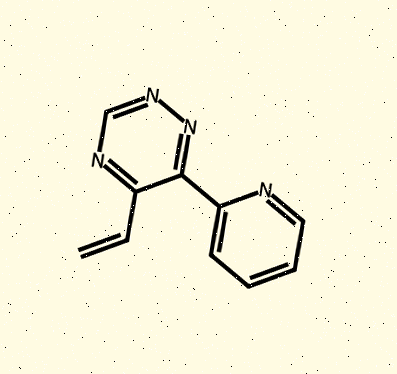 C=Cc1ncnnc1-c1ccccn1